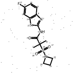 CC(C)(C(=O)Nc1nc2ccc(F)cc2s1)S(=O)(=O)N1CCC1